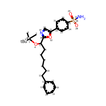 CC(C)(C)[Si](C)(C)OC(CCCCCCc1ccccc1)c1ncc(-c2ccc(S(N)(=O)=O)cc2)o1